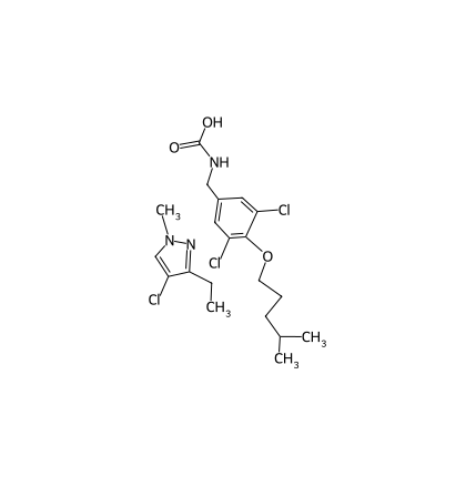 CC(C)CCCOc1c(Cl)cc(CNC(=O)O)cc1Cl.CCc1nn(C)cc1Cl